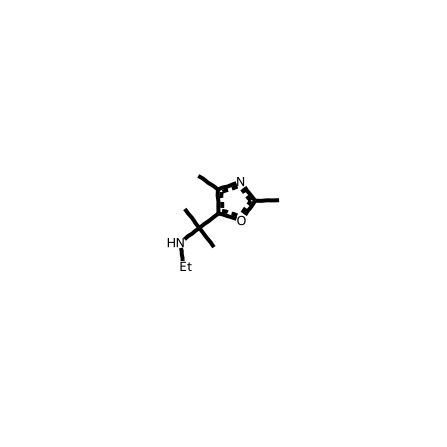 CCNC(C)(C)c1oc(C)nc1C